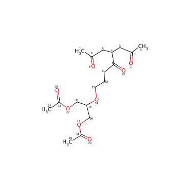 CC(=O)CC(CC(C)=O)C(=O)CCCOC(COC(C)=O)COC(C)=O